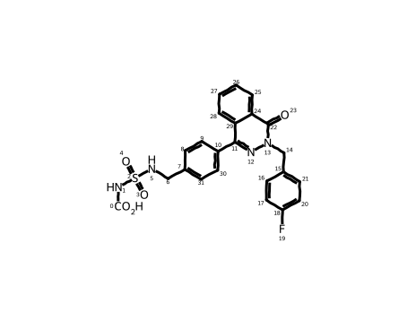 O=C(O)NS(=O)(=O)NCc1ccc(-c2nn(Cc3ccc(F)cc3)c(=O)c3ccccc23)cc1